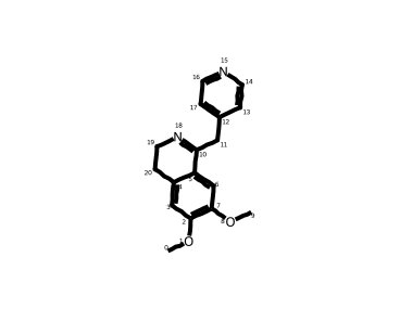 COc1cc2c(cc1OC)C(Cc1ccncc1)=NCC2